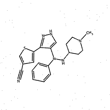 CN1CCC(NN(c2ccccc2)c2c[nH]nc2-c2cc(C#N)cs2)CC1